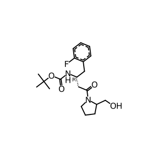 CC(C)(C)OC(=O)N[C@@H](CC(=O)N1CCCC1CO)Cc1ccccc1F